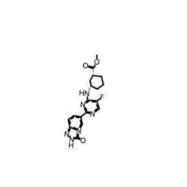 COC(=O)[C@@H]1CCC[C@H](Nc2nc(-c3ccc4n[nH]c(=O)n4c3)ncc2F)C1